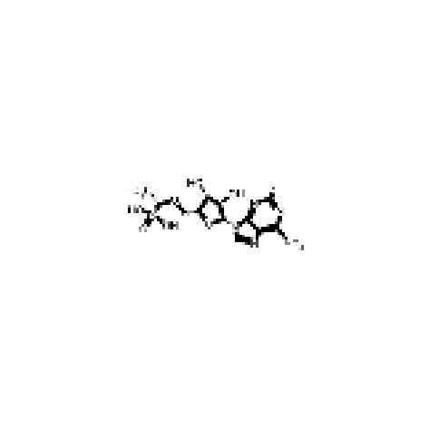 Nc1nc(F)nc2c1ncn2[C@@H]1O[C@H](CO[C@@H](C(=O)O)P(=O)(O)O)[C@H](O)[C@H]1O